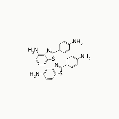 Nc1ccc(-c2nc3c(N)cccc3s2)cc1.Nc1ccc(-c2nc3cc(N)ccc3s2)cc1